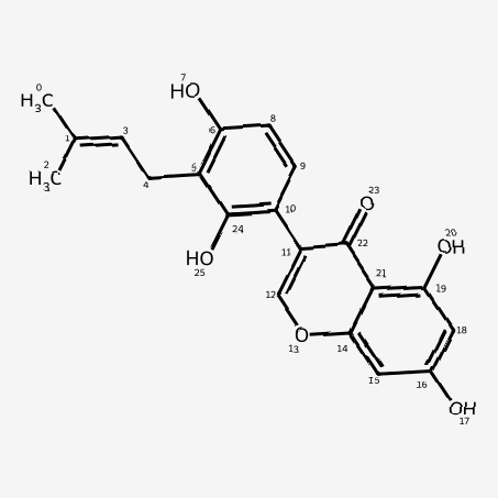 CC(C)=CCc1c(O)ccc(-c2coc3cc(O)cc(O)c3c2=O)c1O